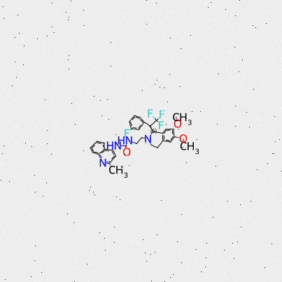 COc1cc2c(cc1OC)[C@H](C(c1cccc(F)c1)C(F)(F)F)N(CCNC(=O)Nc1cc(C)nc3ccccc13)CC2